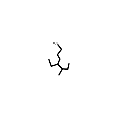 CCC(C)C(CC)CCCN